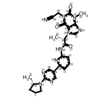 C[C@H]1CCCN1c1ncc(-c2cccc(NC(=O)[C@H](C)n3cnc4c3c(=O)n(CC#N)c(=O)n4C)n2)cn1